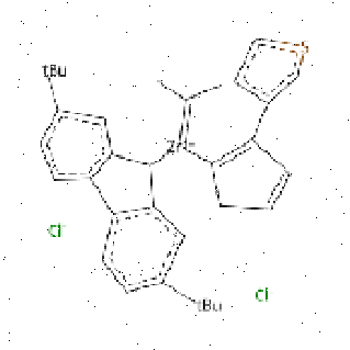 C[C](C)=[Zr+2]([C]1=C(c2ccsc2)C=CC1)[CH]1c2cc(C(C)(C)C)ccc2-c2ccc(C(C)(C)C)cc21.[Cl-].[Cl-]